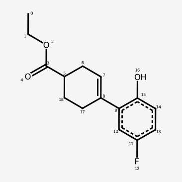 CCOC(=O)C1CC=C(c2cc(F)ccc2O)CC1